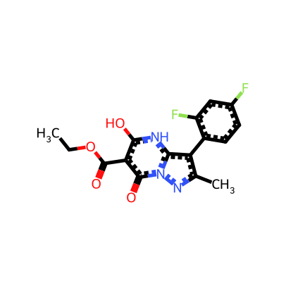 CCOC(=O)c1c(O)[nH]c2c(-c3ccc(F)cc3F)c(C)nn2c1=O